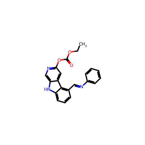 CCOC(=O)Oc1cc2c(cn1)[nH]c1cccc(C=Nc3ccccc3)c12